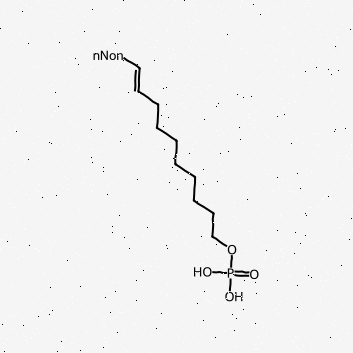 CCCCCCCCCC=CCCCCCCCCOP(=O)(O)O